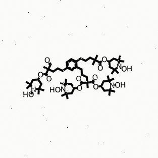 CC(C)(CCCc1ccc(CCCC(C)(C=O)C(=O)OC2CC(C)(C)N(O)C(C)(C)C2)cc1CCCC(C)(C(=O)OC1CC(C)(C)N(O)C(C)(C)C1)C(=O)OC1CC(C)(C)N(O)C(C)(C)C1)C(=O)OC1CC(C)(C)N(O)C(C)(C)C1